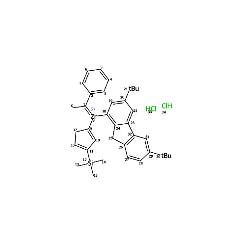 C/[C](c1ccccc1)=[Zr](\[C]1=CC([Si](C)(C)C)=CC1)[c]1cc(C(C)(C)C)cc2c1Cc1ccc(C(C)(C)C)cc1-2.Cl.Cl